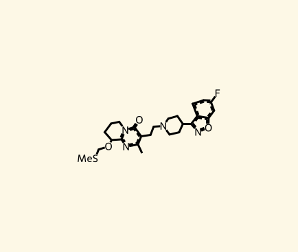 CSCOC1CCCn2c1nc(C)c(CCN1CCC(c3noc4cc(F)ccc34)CC1)c2=O